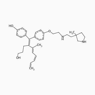 C=C\C=C/C=C(C)/C(CCCO)=C(/c1ccc(O)cc1)c1ccc(OCCNCCC2(C)CCNC2)cc1